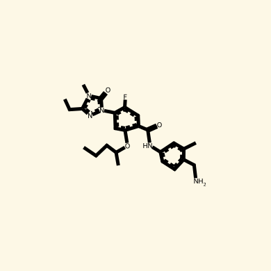 CCCC(C)Oc1cc(-n2nc(CC)n(C)c2=O)c(F)cc1C(=O)Nc1ccc(CN)c(C)c1